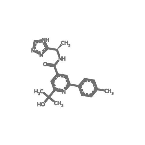 Cc1ccc(-c2cc(C(=O)N[C@@H](C)c3nnc[nH]3)cc(C(C)(C)O)n2)cc1